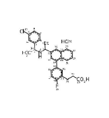 CCC(N[C@H](C)c1cccc(Cl)c1)c1cc(-c2ccc(F)c(CCC(=O)O)c2)c2ccccc2c1.Cl